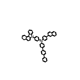 C1=Cc2c(ccc3c2c2ccccc2n3-c2ccc(N(c3ccc(-c4ccc(-c5ccccc5)cc4)cc3)c3ccc(-c4ccc5ccccc5c4)cc3)cc2)CC1